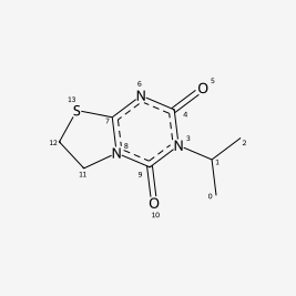 CC(C)n1c(=O)nc2n(c1=O)CCS2